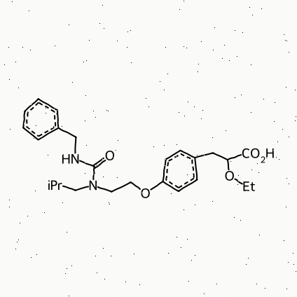 CCOC(Cc1ccc(OCCN(CC(C)C)C(=O)NCc2ccccc2)cc1)C(=O)O